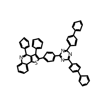 c1ccc(-c2ccc(-c3nc(-c4ccc(-c5ccccc5)cc4)nc(-c4ccc(-c5sc6c(c(-c7ccccc7)nc7ccccc76)c5-c5ccccc5)cc4)n3)cc2)cc1